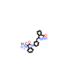 CC1(N)C(=O)N(c2cccc(Cc3n[nH]c(=O)c4ccccc34)c2)c2ccccc21